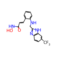 O=C(C=Cc1ccccc1NCc1nc2ccc(C(F)(F)F)cc2[nH]1)NO